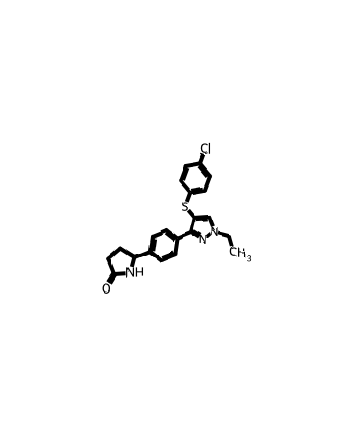 CCn1cc(Sc2ccc(Cl)cc2)c(-c2ccc(C3CCC(=O)N3)cc2)n1